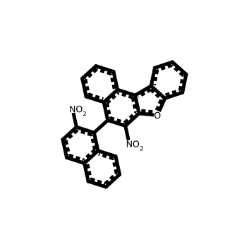 O=[N+]([O-])c1ccc2ccccc2c1-c1c([N+](=O)[O-])c2oc3ccccc3c2c2ccccc12